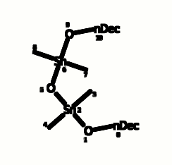 CCCCCCCCCC[O][Sn]([CH3])([CH3])[O][Sn]([CH3])([CH3])[O]CCCCCCCCCC